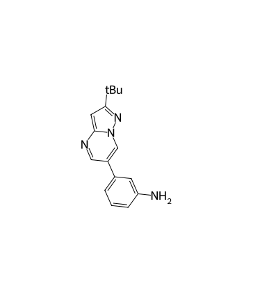 CC(C)(C)c1cc2ncc(-c3cccc(N)c3)cn2n1